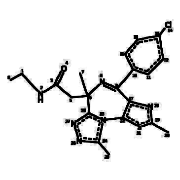 CCNC(=O)CC1(C)N=C(c2ccc(Cl)cc2)c2nc(C)sc2-n2c(C)nnc21